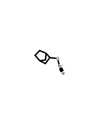 N#[N+]OC1CC2CCC1C2